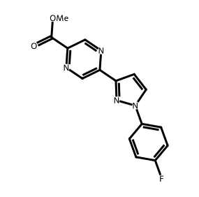 COC(=O)c1cnc(-c2ccn(-c3ccc(F)cc3)n2)cn1